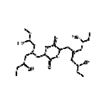 CCC(O)CN(CC(O)CC)CC1OC(=O)C(CN(CC(O)CC)CC(O)CC)OC1=O